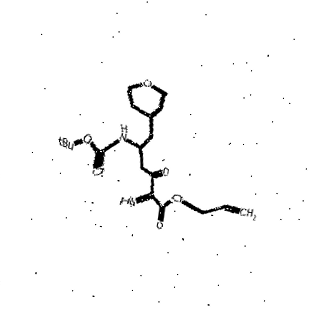 C=CCOC(=O)C(=N)C(=O)CC(CC1CCOCC1)NC(=O)OC(C)(C)C